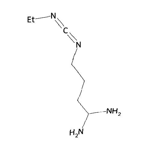 CCN=C=NCCCC(N)N